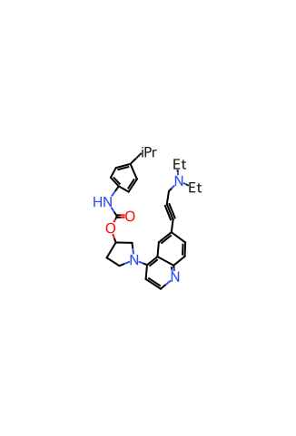 CCN(CC)CC#Cc1ccc2nccc(N3CCC(OC(=O)Nc4ccc(C(C)C)cc4)C3)c2c1